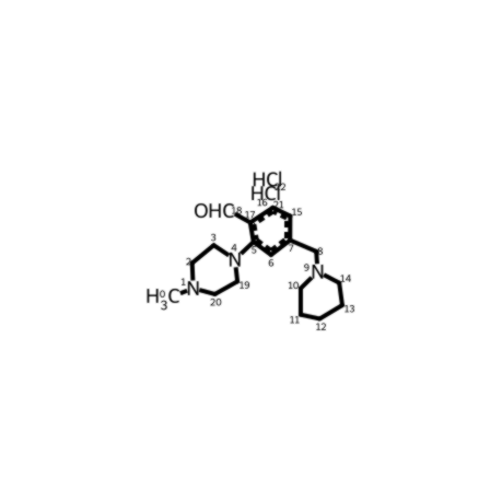 CN1CCN(c2cc(CN3CCCCC3)ccc2C=O)CC1.Cl.Cl